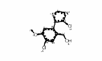 COc1cc(-c2scnc2Cl)c(CO)cc1Cl